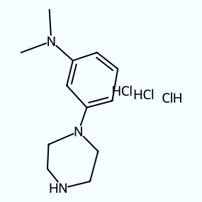 CN(C)c1cccc(N2CCNCC2)c1.Cl.Cl.Cl